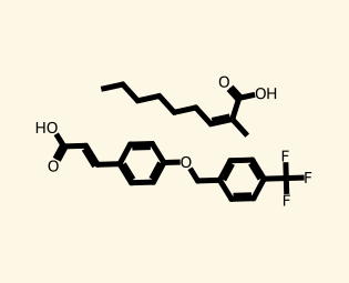 CCCCCCC=C(C)C(=O)O.O=C(O)C=Cc1ccc(OCc2ccc(C(F)(F)F)cc2)cc1